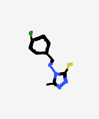 Cc1nnc(S)n1N=Cc1ccc(Cl)cc1